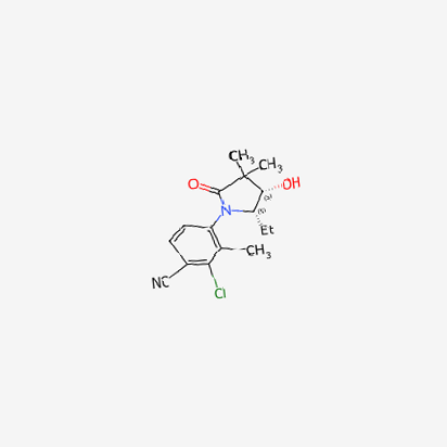 CC[C@H]1[C@@H](O)C(C)(C)C(=O)N1c1ccc(C#N)c(Cl)c1C